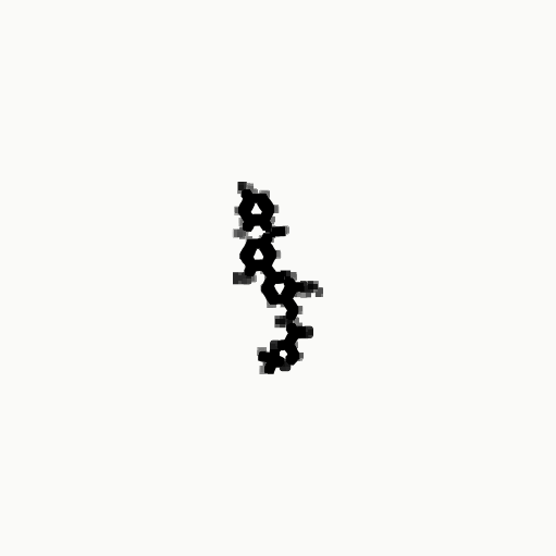 CN(c1ccc(O)c(-c2ccc(CNC(=O)C3COC(C)(C)O3)c(N)n2)c1)c1ccc(F)cc1F